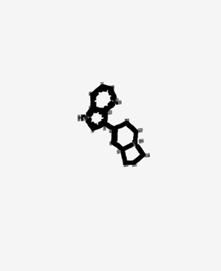 C1=C(c2c[nH]c3cccnc23)CCN2CCCC12